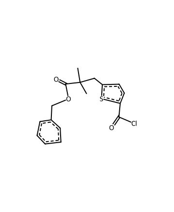 CC(C)(Cc1ccc(C(=O)Cl)s1)C(=O)OCc1ccccc1